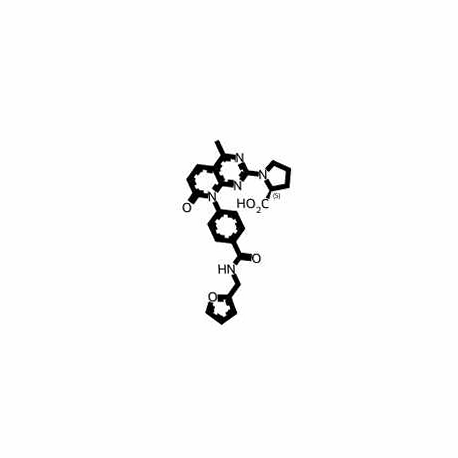 Cc1nc(N2CCC[C@H]2C(=O)O)nc2c1ccc(=O)n2-c1ccc(C(=O)NCc2ccco2)cc1